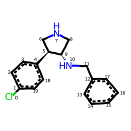 Clc1ccc([C@H]2CNC[C@@H]2NCc2ccccc2)cc1